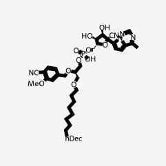 CCCCCCCCCCCCCCCCCCOC[C@H](COP(=O)(O)OC[C@H]1O[C@@](C#N)(c2ccc3c(C)ncnn23)[C@H](O)[C@@H]1O)OCc1ccc(C#N)c(OC)c1